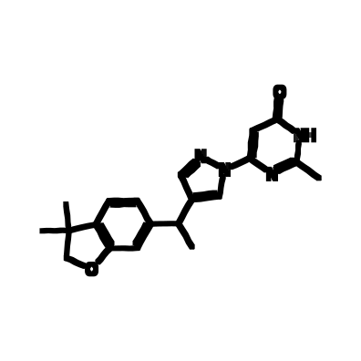 Cc1nc(-n2cc(C(C)c3ccc4c(c3)OCC4(C)C)cn2)cc(=O)[nH]1